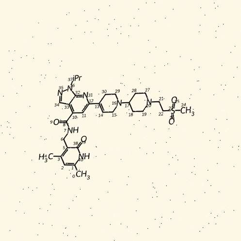 Cc1cc(C)c(CNC(=O)c2cc(C3=CCN(C4CCN(CCS(C)(=O)=O)CC4)CC3)nc3c2cnn3C(C)C)c(=O)[nH]1